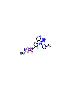 CC(=O)N1CCC[C@H](Nc2n[nH]c3nccc(-c4ccc(CNC(=O)c5nc(C(C)(C)C)no5)c(F)c4)c23)C1